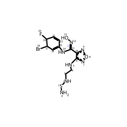 NSNCCNc1nonc1/C(=N/O)NC1=CC(Br)C(F)C=C1